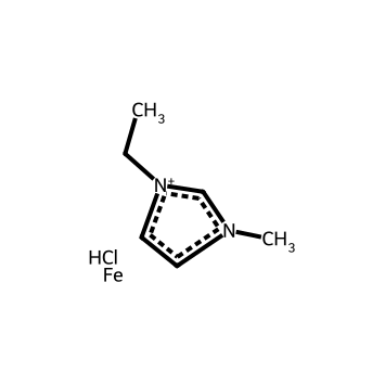 CC[n+]1ccn(C)c1.Cl.[Fe]